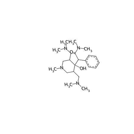 CN(C)CC1CN(C)CC(CN(C)C)C1(O)C(C(=O)N(C)C)c1ccccc1